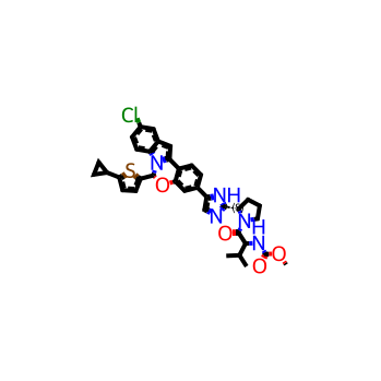 COC(=O)NC(C(=O)N1CCC[C@H]1c1ncc(-c2ccc3c(c2)OC(c2ccc(C4CC4)s2)n2c-3cc3cc(Cl)ccc32)[nH]1)C(C)C